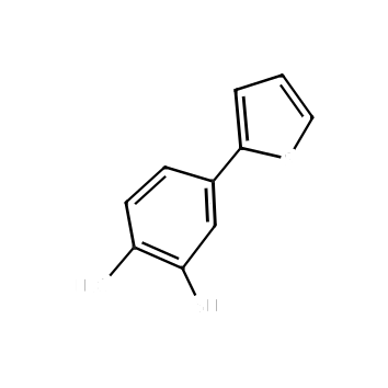 Cc1ccc(-c2cccs2)cc1S